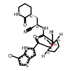 N#C[C@@H](C[C@H]1CCCNC1=O)NC(=O)[C@H]1[C@@H]2CC[C@@H](CC2(F)F)N1C(=O)c1cc2scc(Cl)c2[nH]1